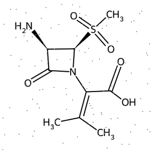 CC(C)=C(C(=O)O)N1C(=O)[C@@H](N)[C@H]1S(C)(=O)=O